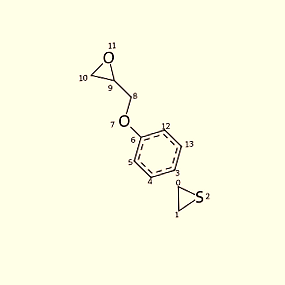 C1CS1.c1ccc(OCC2CO2)cc1